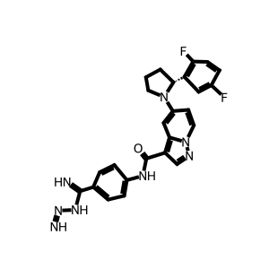 N=NNC(=N)c1ccc(NC(=O)c2cnn3ccc(N4CCC[C@@H]4c4cc(F)ccc4F)cc23)cc1